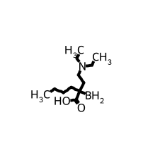 BC(CCCC)(CCN(CC)CC)C(=O)O